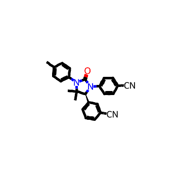 Cc1ccc(N2C(=O)N(c3ccc(C#N)cc3)[C@@H](c3cccc(C#N)c3)C2(C)C)cc1